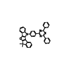 CC1(C)c2ccccc2-c2c1oc1c3ccccc3n(-c3ccc(-c4nc(-c5ccccc5)nc(-c5ccccc5)n4)cc3)c21